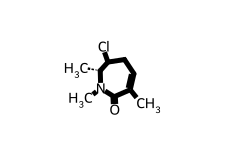 CC1=CCC(Cl)[C@@H](C)N(C)C1=O